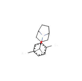 CCOC(=O)C(C#N)C1CC2CCC(C1)N2c1cc(OC)ccc1OC